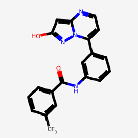 O=C(Nc1cccc(-c2ccnc3cc(O)nn23)c1)c1cccc(C(F)(F)F)c1